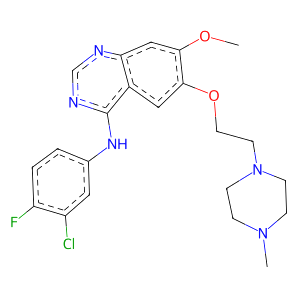 COc1cc2ncnc(Nc3ccc(F)c(Cl)c3)c2cc1OCCN1CCN(C)CC1